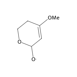 COC1=CC([O])OCC1